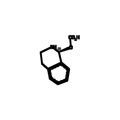 O=C(O)O[C@@H]1NCCc2ccccc21